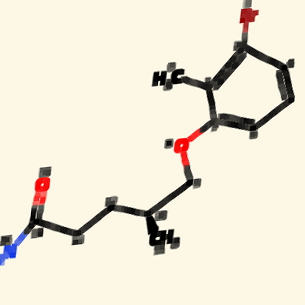 Cc1c(Br)cccc1OC[C@@H](C)CCC(N)=O